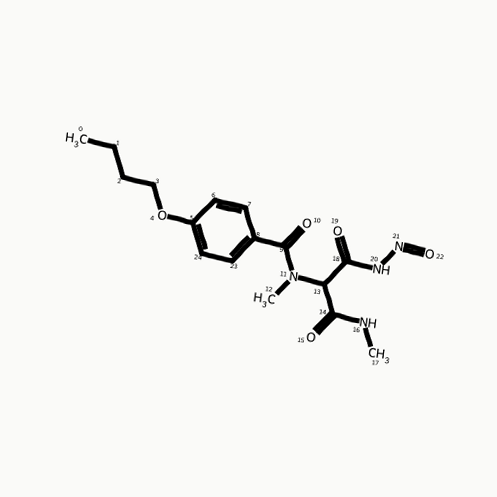 CCCCOc1ccc(C(=O)N(C)C(C(=O)NC)C(=O)NN=O)cc1